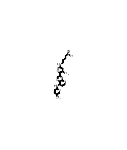 CCN(CC)CCCCNc1cc(C(F)(F)F)c(-c2cnc3c(Nc4ccc(C(F)(F)F)cn4)ccnc3n2)nn1